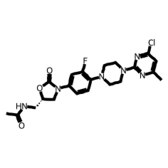 CC(=O)NC[C@H]1CN(c2ccc(N3CCN(c4nc(C)cc(Cl)n4)CC3)c(F)c2)C(=O)O1